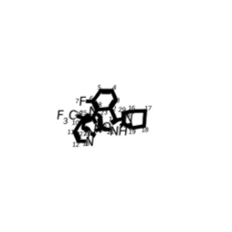 O=C(c1cccc(F)c1-c1cccnn1)N1C2CCC1C(Nc1cnc(C(F)(F)F)cn1)C2